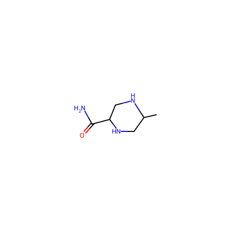 CC1CNC(C(N)=O)CN1